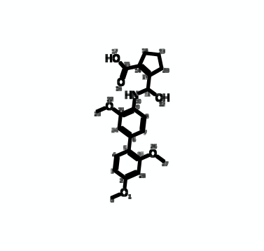 COc1ccc(-c2ccc(NC(O)C3=C(C(=O)O)CCC3)c(OC)c2)c(OC)c1